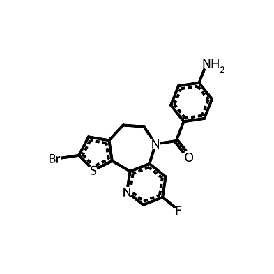 Nc1ccc(C(=O)N2CCc3cc(Br)sc3-c3ncc(F)cc32)cc1